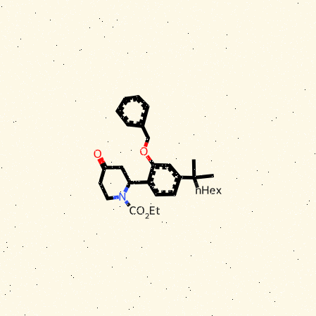 CCCCCCC(C)(C)c1ccc(C2CC(=O)CCN2C(=O)OCC)c(OCc2ccccc2)c1